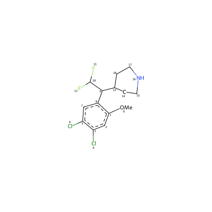 COc1cc(Cl)c(Cl)cc1C(C(F)F)C1CCNCC1